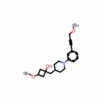 CC(C)(C)OCC#Cc1cccc(N2CCC(CC3(O)CC(OC(C)(C)C)C3)CC2)c1